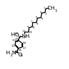 CCCCCCCCCCCCNC(O)c1ccc(C(N)=O)cc1